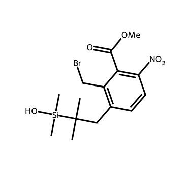 COC(=O)c1c([N+](=O)[O-])ccc(CC(C)(C)[Si](C)(C)O)c1CBr